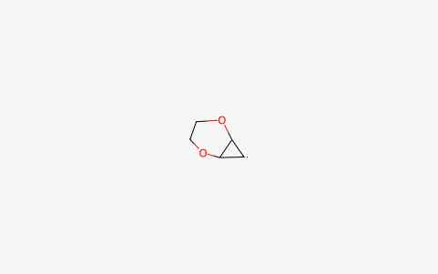 [CH]1C2OCCOC12